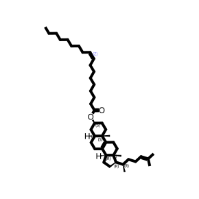 CCCCCCCC/C=C\CCCCCCCC(=O)O[C@H]1CC[C@]2(C)C3=C(CC[C@H]2C1)[C@@H]1CC[C@H]([C@H](C)CCC=C(C)C)[C@@]1(C)CC3